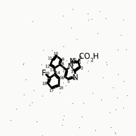 O=C(O)c1cc2nccc(-c3ccccc3-c3ccccc3F)n2n1